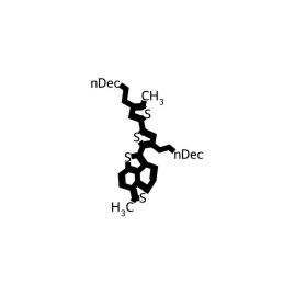 CCCCCCCCCCCCc1cc(-c2cc(CCCCCCCCCCCC)c(-c3sc4ccc5c(C)sc6ccc3c4c65)s2)sc1C